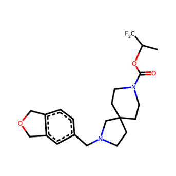 CC(OC(=O)N1CCC2(CCN(Cc3ccc4c(c3)COC4)C2)CC1)C(F)(F)F